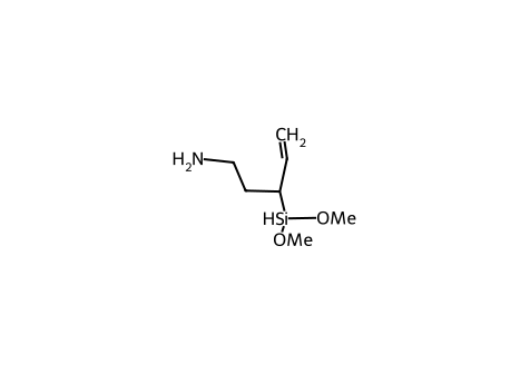 C=CC(CCN)[SiH](OC)OC